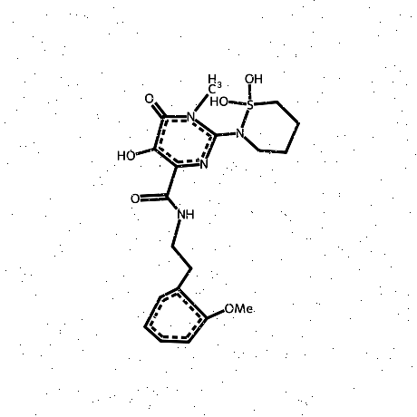 COc1ccccc1CCNC(=O)c1nc(N2CCCCS2(O)O)n(C)c(=O)c1O